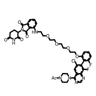 CC(=O)N1CCN(c2ncnc3c(F)c(-c4c(F)cccc4OCCOCCOCCOCCNc4cccc5c4C(=O)N(C4CCC(=O)NC4=O)C5=O)c(Cl)cc23)CC1